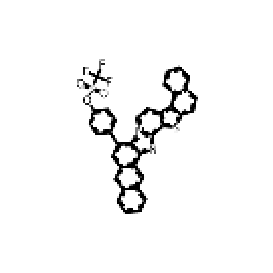 O=S(=O)(Oc1ccc(-c2cc3cc4ccccc4cc3c3nc4c5sc6ccc7ccccc7c6c5ccn4c23)cc1)C(F)(F)F